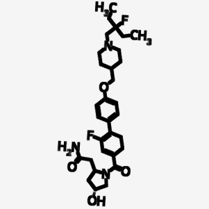 CCC(F)(CC)CN1CCC(COc2ccc(C3=C(F)C=C(C(=O)N4C[C@H](O)CC4CC(N)=O)CC3)cc2)CC1